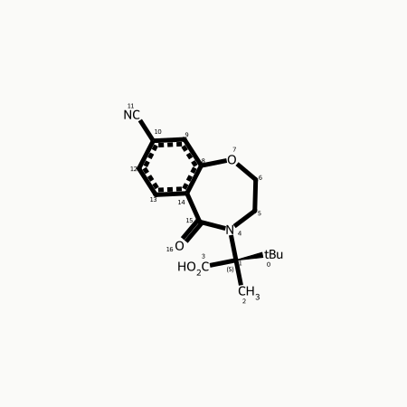 CC(C)(C)[C@@](C)(C(=O)O)N1CCOc2cc(C#N)ccc2C1=O